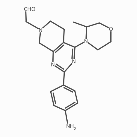 CC1COCCN1c1nc(-c2ccc(N)cc2)nc2c1CCN(CC=O)C2